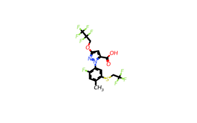 Cc1cc(F)c(-n2nc(OCC(F)(F)C(F)(F)F)cc2C(=O)O)cc1SCC(F)(F)F